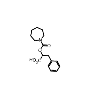 O=C(O)[C@H](Cc1ccccc1)OC(=O)N1CCCCCC1